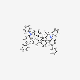 c1ccc(-c2ccc(N(c3ccccc3)c3ccc4c(c3)C(c3ccccc3)(c3ccccc3)c3cc(N(c5ccccc5)c5ccc(-c6ccccc6)cc5)ccc3-4)cc2)cc1